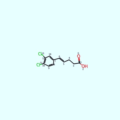 O=C(O)CCC=Cc1ccc(Cl)c(Cl)c1